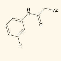 [C]c1cccc(NC(=O)CC(C)=O)c1